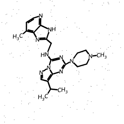 Cc1ccnc2[nH]c(CNc3nc(N4CCN(C)CC4)nc4c(C(C)C)cnn34)nc12